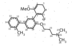 COC1=CC[CH]C(F)=C1c1cc(-c2ccccc2C)ccc1OCCCN(C)C